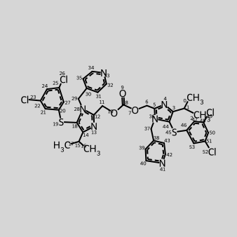 CC(C)c1nc(COC(=O)OCc2nc(C(C)C)c(Sc3cc(Cl)cc(Cl)c3)n2Cc2ccncc2)n(Cc2ccncc2)c1Sc1cc(Cl)cc(Cl)c1